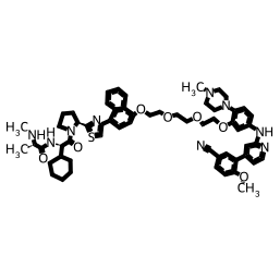 CN[C@@H](C)C(=O)N[C@H](C(=O)N1CCC[C@H]1c1nc(-c2ccc(OCCOCCOCCOc3cc(Nc4cc(-c5cc(C#N)ccc5OC)ccn4)ccc3N3CCN(C)CC3)c3ccccc23)cs1)C1CCCCC1